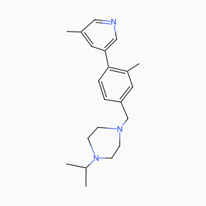 Cc1cncc(-c2ccc(CN3CCN(C(C)C)CC3)cc2C)c1